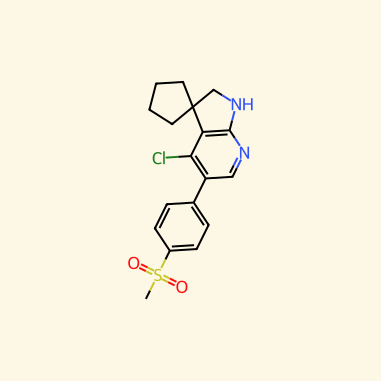 CS(=O)(=O)c1ccc(-c2cnc3c(c2Cl)C2(CCCC2)CN3)cc1